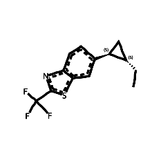 CC[C@H]1C[C@@H]1c1ccc2nc(C(F)(F)F)sc2c1